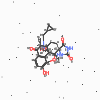 O=C1NC(=O)[C@@]2(CC[C@@]3(O)[C@H]4C(=O)c5ccc(O)c6c5[C@@]3(CCN4CC3CC3)[C@H]2O6)N1